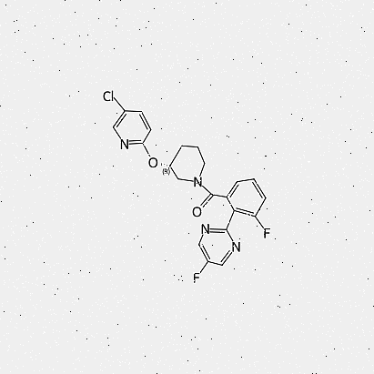 O=C(c1cccc(F)c1-c1ncc(F)cn1)N1CCC[C@@H](Oc2ccc(Cl)cn2)C1